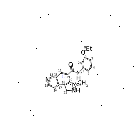 CCOc1cccc(NC(=O)/C=C/c2cnccc2C2=CN(C)NC2)c1